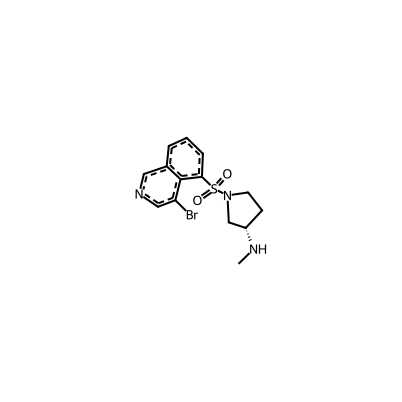 CN[C@H]1CCN(S(=O)(=O)c2cccc3cncc(Br)c23)C1